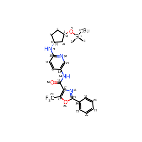 CC(C)(C)[Si](C)(C)O[C@H]1CC[C@@H](Nc2ccc(NC(=O)c3nc(-c4ccccc4)oc3C(F)(F)F)cn2)C1